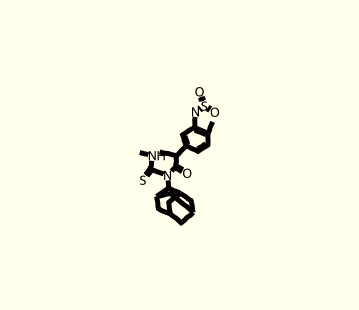 CNC(=S)N(C(=O)C(C)c1ccc(C)c(N=S(=O)=O)c1)C1C2CC3CC(C2)CC1C3